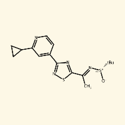 CC(=N[S@@+]([O-])C(C)(C)C)c1nc(-c2ccnc(C3CC3)c2)ns1